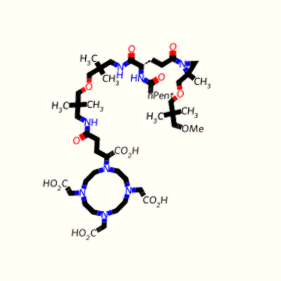 CCCCCC(=O)N[C@@H](CCC(=O)N1CC1(C)COCC(C)(C)COC)C(=O)NCC(C)(C)COCC(C)(C)CNC(=O)CCC(C(=O)O)N1CCN(CC(=O)O)CCN(CC(=O)O)CCN(CC(=O)O)CC1